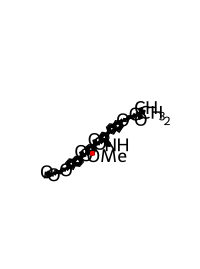 C=C(C)C(=O)OCCCOc1ccc2cc(-c3ccc(OC(=O)c4ccc(OC(=O)c5ccc6cc(OCCCOC7CO7)ccc6c5)c(OC)c4)c(C=N)c3)ccc2c1